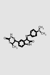 CC1SC(=O)NN=C1c1ccc2c(c1)/C(=N/c1ccc(N(C)C)cc1)C(=O)N2